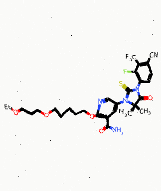 CCOCCCOCCCCCOc1ncc(N2C(=S)N(c3ccc(C#N)c(C(F)(F)F)c3F)C(=O)C2(C)C)cc1C(N)=O